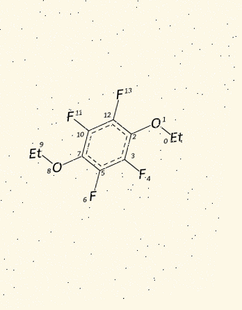 CCOc1c(F)c(F)c(OCC)c(F)c1F